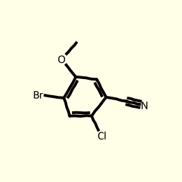 COc1cc(C#N)c(Cl)cc1Br